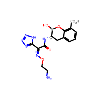 NCCO/N=C(\C(=O)N[C@H]1Cc2cccc(C(=O)O)c2OB1O)c1nnn[nH]1